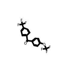 O=C(c1ccc(OC(F)(F)F)cc1)c1ccc(C(F)(F)F)cc1